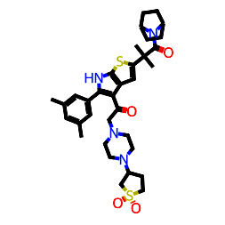 Cc1cc(C)cc(-c2[nH]c3sc(C(C)(C)C(=O)N4C5CCC4CC5)cc3c2C(=O)CN2CCN(C3CCS(=O)(=O)C3)CC2)c1